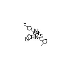 Cc1ccccc1CC(=S)Nc1c(-c2ccncc2)c(-c2ccc(F)cc2)nn1C